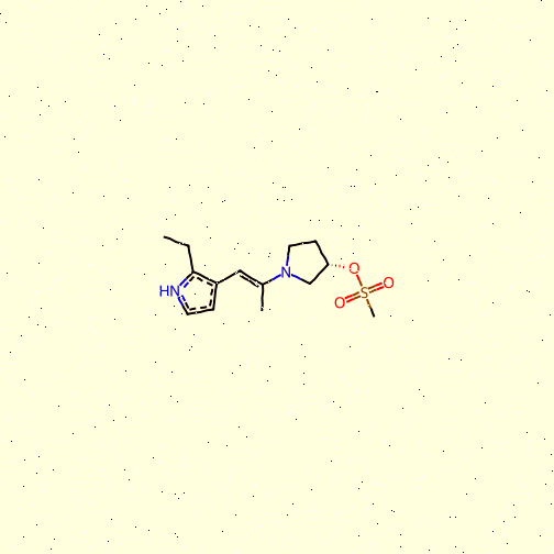 CCc1[nH]ccc1/C=C(\C)N1CC[C@H](OS(C)(=O)=O)C1